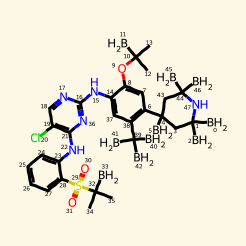 BC1(B)CC(B)(c2cc(OC(B)(C)C)c(Nc3ncc(Cl)c(Nc4ccccc4S(=O)(=O)C(B)(C)C)n3)cc2C(B)(B)B)CC(B)(B)N1